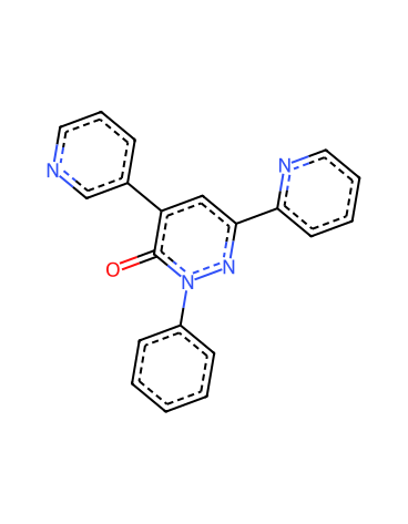 O=c1c(-c2cccnc2)cc(-c2ccccn2)nn1-c1ccccc1